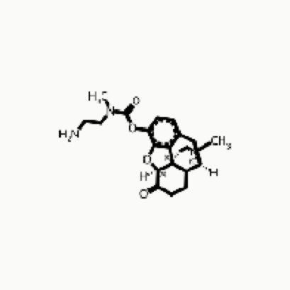 CN(CCN)C(=O)Oc1ccc2c3c1O[C@@H]1C(=O)CCC4[C@H](C2)N(C)CC[C@]341